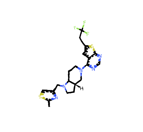 Cc1nc(CN2CC[C@H]3CN(c4ncnc5sc(CC(F)(F)F)cc45)CCC32)cs1